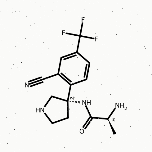 C[C@H](N)C(=O)N[C@]1(c2ccc(C(F)(F)F)cc2C#N)CCNC1